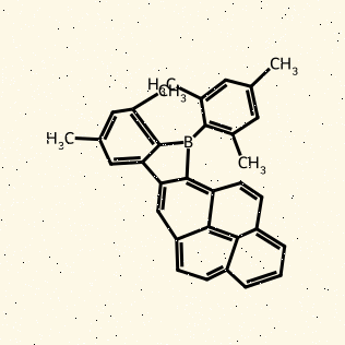 Cc1cc(C)c(B2c3c(C)cc(C)cc3-c3cc4ccc5cccc6ccc(c32)c4c56)c(C)c1